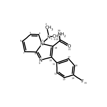 CN(C)[N+]12C=C[C]=CC1=NC(c1ccc(F)cc1)=C2C(N)=O